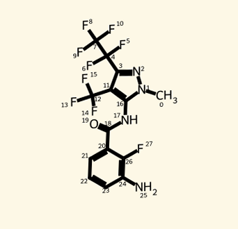 Cn1nc(C(F)(F)C(F)(F)F)c(C(F)(F)F)c1NC(=O)c1cccc(N)c1F